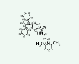 CC1CCCC(C)N1CCCNC(=O)c1ccc(-n2c(-c3ccccc3)cc3c2CCCC3)cc1